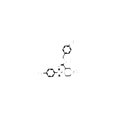 CC(=O)N1CCN(S(=O)(=O)c2ccc(Br)cc2)C(C(=O)NCc2ccc(C(F)(F)F)cc2)C1